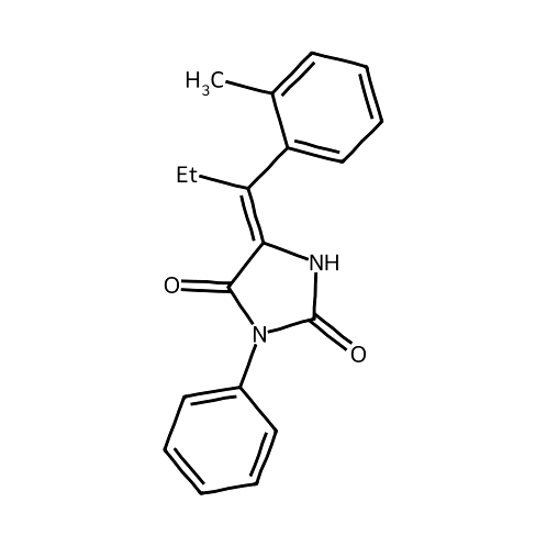 CC/C(=C1/NC(=O)N(c2ccccc2)C1=O)c1ccccc1C